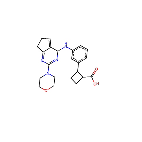 O=C(O)C1CCC1c1cccc(NC2N=C(N3CCOCC3)N=C3CCC=C32)c1